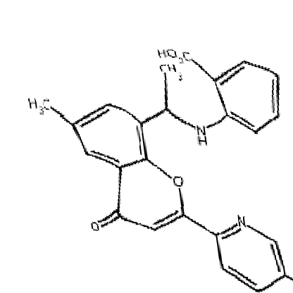 Cc1cc(C(C)Nc2ccccc2C(=O)O)c2oc(-c3ccc(F)cn3)cc(=O)c2c1